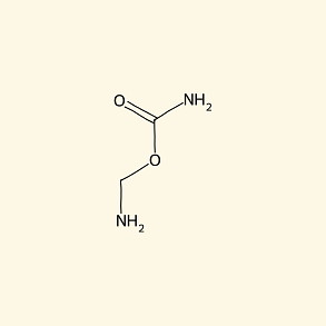 NCOC(N)=O